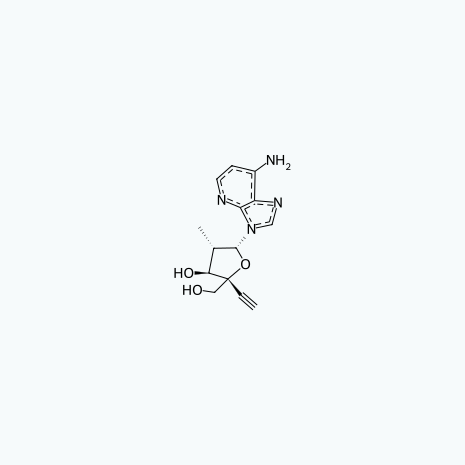 C#C[C@]1(CO)O[C@@H](n2cnc3c(N)ccnc32)[C@@H](C)[C@@H]1O